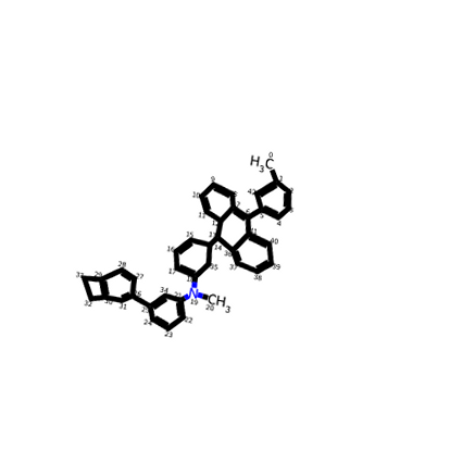 Cc1cccc(C2=C3C=CC=CC3C(C3C=CC=C(N(C)c4cccc(-c5ccc6c(c5)CC6)c4)C3)c3ccccc32)c1